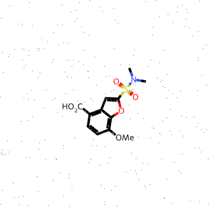 COc1ccc(C(=O)O)c2cc(S(=O)(=O)N(C)C)oc12